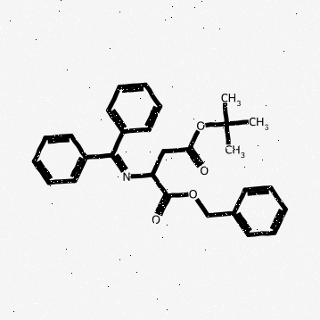 CC(C)(C)OC(=O)CC(N=C(c1ccccc1)c1ccccc1)C(=O)OCc1ccccc1